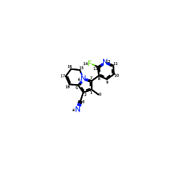 Cc1c(C#N)c2n(c1-c1cccnc1F)CCC=C2